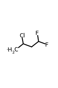 [CH2]C(Cl)CC(F)F